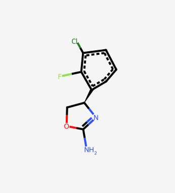 NC1=N[C@H](c2cccc(Cl)c2F)CO1